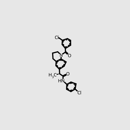 C[C@H](C(=O)Nc1ccc(Cl)cc1)c1ccc2c(c1)CCCN2C(=O)c1cccc(Cl)c1